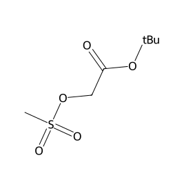 CC(C)(C)OC(=O)COS(C)(=O)=O